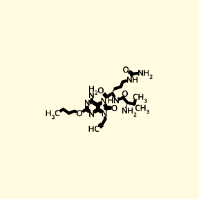 C#CCn1c(=O)n(C(=O)[C@H](CCCNC(N)=O)NC(=O)[C@@H](N)C(C)C)c2c(N)nc(OCCCC)nc21